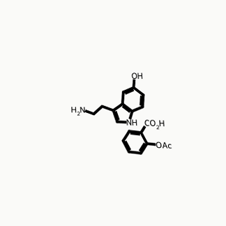 CC(=O)Oc1ccccc1C(=O)O.NCCc1c[nH]c2ccc(O)cc12